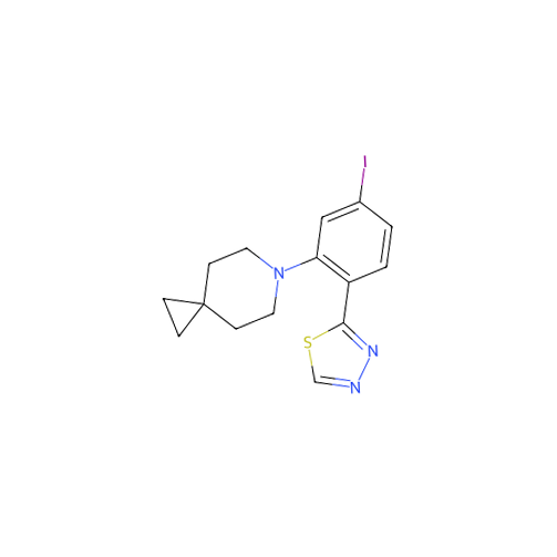 Ic1ccc(-c2nncs2)c(N2CCC3(CC2)CC3)c1